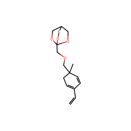 C=CC1=CCC(C)(COCC23OCC(CO2)CO3)C=C1